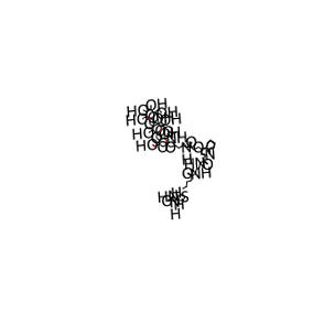 CC(=O)NC1C(OCCCNC(=O)COc2cc(C(=O)NCCNC(=O)CCCC[C@@H]3SC[C@@H]4NC(=O)N[C@@H]43)nc3ccccc23)OC(CO)C(OC2OC(CO)C(O)C(OC3OC(CO)C(O)C(O)C3O)C2O)C1O